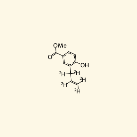 [2H]C([2H])=C([2H])C([2H])([2H])c1cc(C(=O)OC)ccc1O